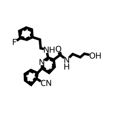 N#Cc1ccccc1-c1ccc(C(=O)NCCCO)c(NCCc2cccc(F)c2)n1